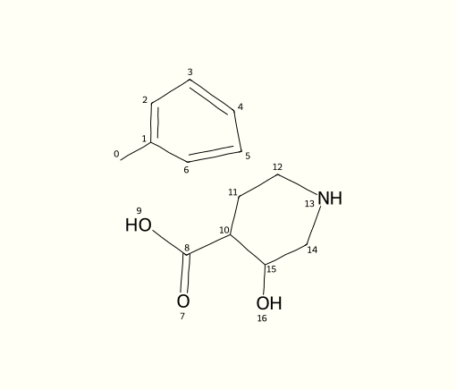 Cc1ccccc1.O=C(O)C1CCNCC1O